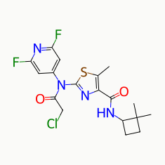 Cc1sc(N(C(=O)CCl)c2cc(F)nc(F)c2)nc1C(=O)NC1CCC1(C)C